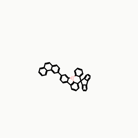 c1ccc2c(c1)B1c3cc(-c4ccc5ccc6ccccc6c5c4)ccc3-c3cccc(c31)C21c2ccccc2-c2ccccc21